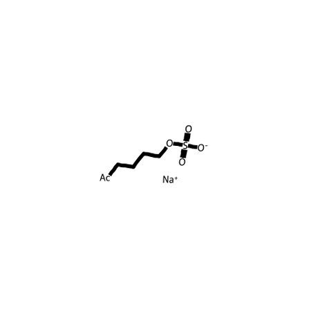 CC(=O)CCCCOS(=O)(=O)[O-].[Na+]